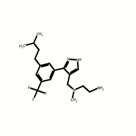 CC(C)CCc1cc(-c2n[nH]cc2CN(C)CCN)cc(C(F)(F)F)c1